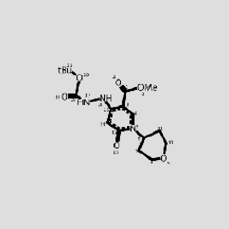 COC(=O)c1cn(C2CCOCC2)c(=O)cc1NNC(=O)OC(C)(C)C